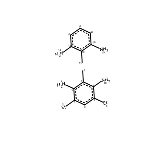 CCc1cc(CC)c(N)c(C)c1N.Cc1c(N)cccc1N